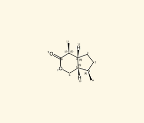 C[C@@H]1CC[C@@H]2[C@H]1COC(=O)[C@H]2C